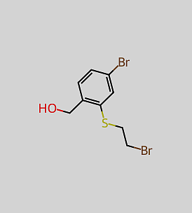 OCc1ccc(Br)cc1SCCBr